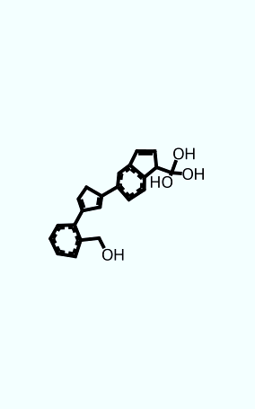 OCc1ccccc1C1=CCC(c2ccc3c(c2)C=CC3C(O)(O)O)=C1